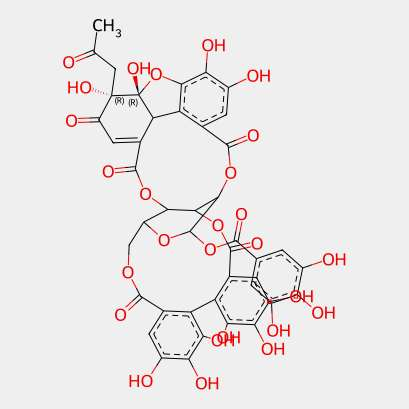 CC(=O)C[C@]1(O)C(=O)C=C2C(=O)OC3C4COC(=O)c5cc(O)c(O)c(O)c5-c5c(cc(O)c(O)c5O)C(=O)OC3C(OC(=O)c3cc(O)c(O)c5c3C2[C@@]1(O)O5)C(OC(=O)c1cc(O)c(O)c(O)c1)O4